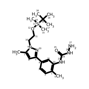 Cc1ccc(-c2cc(C)n(CCO[Si](C)(C)C(C)(C)C)n2)cc1NC(=O)NN